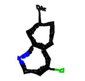 CC(=O)Oc1ccc2c(Cl)ccnc2c1